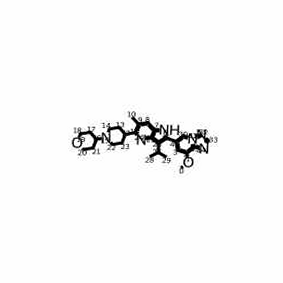 COc1cc(-c2[nH]c3cc(C)c(C4CCN(C5CCOCC5)CC4)nc3c2C(C)C)cn2ncnc12